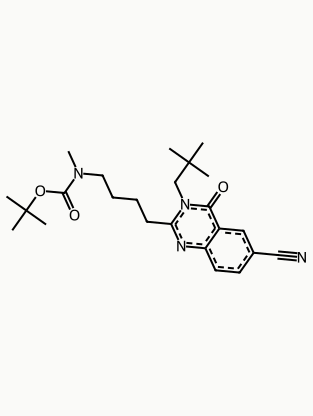 CN(CCCCc1nc2ccc(C#N)cc2c(=O)n1CC(C)(C)C)C(=O)OC(C)(C)C